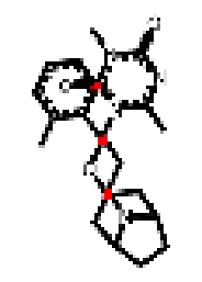 Cc1ccccc1COC1CC2CCC(C1)N2CCCn1c(C)nc(=O)n(C)c1=O